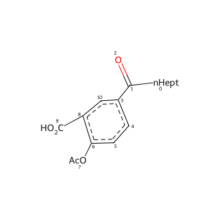 CCCCCCCC(=O)c1ccc(OC(C)=O)c(C(=O)O)c1